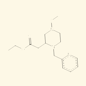 CCOC(=O)CC1CN(SI)CCN1Cc1ccccn1